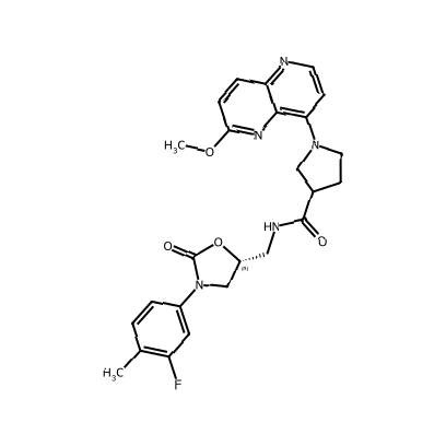 COc1ccc2nccc(N3CCC(C(=O)NC[C@@H]4CN(c5ccc(C)c(F)c5)C(=O)O4)C3)c2n1